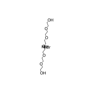 Br.Br.OCCOCCOCCOCCOCCOCCO